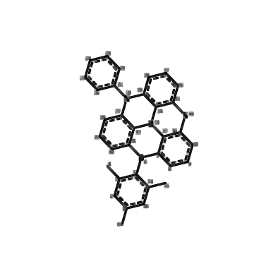 Cc1cc(C)c(B2c3cccc4c3B3c5c(cccc5N(c5ccccc5)c5cccc2c53)S4)c(C)c1